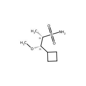 CO[C@@H](C1CCC1)[C@H](C)S(N)(=O)=O